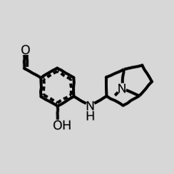 CN1C2CCC1CC(Nc1ccc(C=O)cc1O)C2